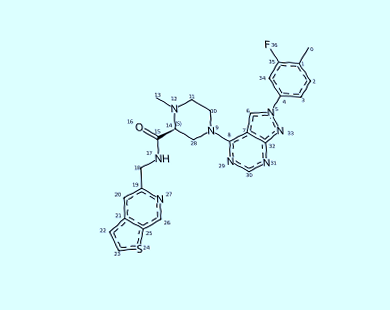 Cc1ccc(-n2cc3c(N4CCN(C)[C@H](C(=O)NCc5cc6ccsc6cn5)C4)ncnc3n2)cc1F